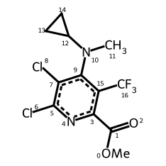 COC(=O)c1nc(Cl)c(Cl)c(N(C)C2CC2)c1C(F)(F)F